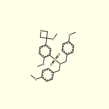 COc1ccc(CN(Cc2ccc(OC)cc2)S(=O)(=O)c2cc(C3(OC)COC3)ccc2OC)cc1